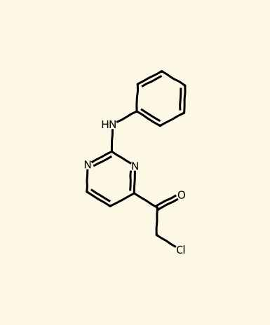 O=C(CCl)c1ccnc(Nc2ccccc2)n1